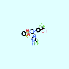 CC(O)(c1ccc(N2CCN(S(=O)(=O)C3=CC=CCC3=S)C[C@@H]2CN2CCNC(C(F)(F)F)C2)cc1)C(F)(F)F